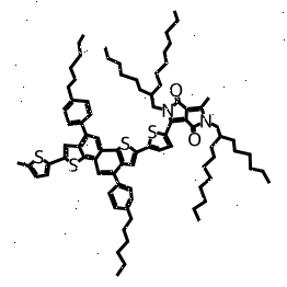 CCCCCCCCC(CCCCCC)CN1C(=O)C2=C(c3ccc(-c4cc5c(-c6ccc(CCCCCC)cc6)cc6c(cc(-c7ccc(CCCCCC)cc7)c7cc(-c8ccc(C)s8)sc76)c5s4)s3)N(CC(CCCCCC)CCCCCCCC)C(=O)C2=C1C